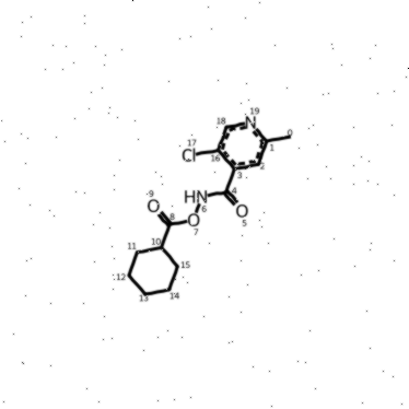 Cc1cc(C(=O)NOC(=O)C2CCCCC2)c(Cl)cn1